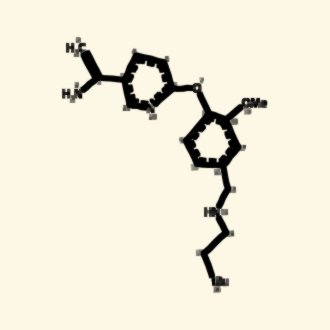 C=C(N)c1ccc(Oc2ccc(CNCCC(C)(C)C)cc2OC)nc1